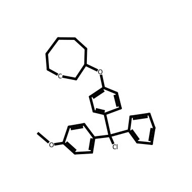 COc1ccc(C(Cl)(c2ccccc2)c2ccc(OC3CCCCCCC3)cc2)cc1